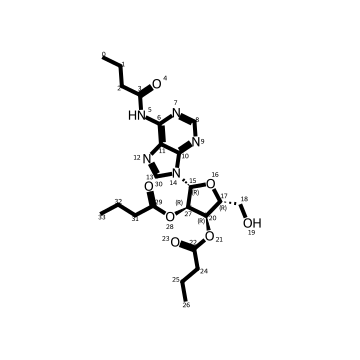 CCCC(=O)Nc1ncnc2c1ncn2[C@@H]1O[C@H](CO)[C@@H](OC(=O)CCC)[C@H]1OC(=O)CCC